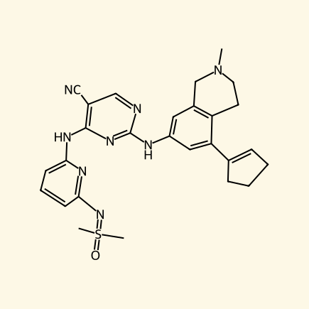 CN1CCc2c(cc(Nc3ncc(C#N)c(Nc4cccc(N=S(C)(C)=O)n4)n3)cc2C2=CCCC2)C1